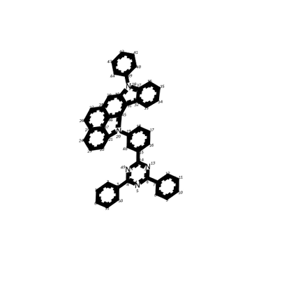 c1ccc(-c2nc(-c3ccccc3)nc(-c3cccc(-n4c5cccc6ccc7cc8c(c9ccccc9n8-c8ccccc8)c4c7c65)c3)n2)cc1